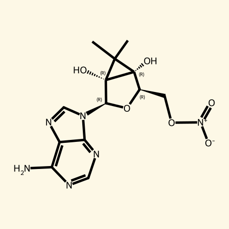 CC1(C)[C@]2(O)[C@H](n3cnc4c(N)ncnc43)O[C@H](CO[N+](=O)[O-])[C@]12O